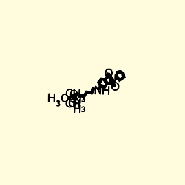 CC(C)(C)S(=O)(=O)NCCCCCNc1ccc2c(c1)C(=O)N(c1ccccc1)C2=O